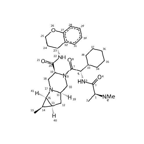 CN[C@@H](C)C(=O)N[C@H](C(=O)N1C[C@H]2C[C@H]3[C@@H](C)[C@H]3N2C[C@H]1C(=O)N[C@@H]1CCOc2ccccc21)C1CCCCC1